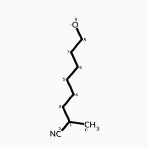 CC(C#N)CCCCCC[O]